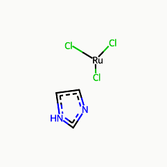 [Cl][Ru]([Cl])[Cl].c1c[nH]cn1